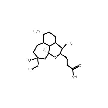 C[C@@H]1CCC2[C@@H](C)[C@@H](OCC(=O)O)O[C@]34C[C@]23C1CC[C@@](C)(OO)O4